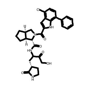 O=C(CO)C(C[C@@H]1CCNC1=O)NC(=O)[C@@H]1[C@H]2CCC[C@H]2CN1C(=O)c1cc2c(Cl)ccc(-c3ccccc3)c2[nH]1